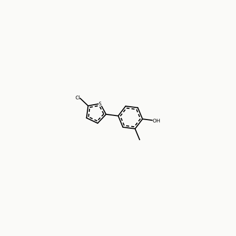 Cc1cc(-c2ccc(Cl)s2)ccc1O